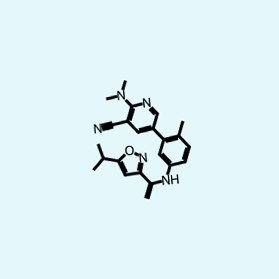 C=C(Nc1ccc(C)c(-c2cnc(N(C)C)c(C#N)c2)c1)c1cc(C(C)C)on1